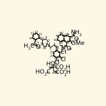 CCN(C[C@@H](CCN1CCC(c2ccccc2[S+](C)[O-])CC1)c1ccc(Cl)c(Cl)c1)C(=O)c1c(OC)c(C(N)=O)cc2ccccc12.O=C(O)CC(O)(CC(=O)O)C(=O)O